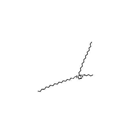 CCCCCCCCCCCCCCCCCCCn1cc[n+](CCCCC)c1CCCCCCCCCCCCCCCC